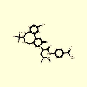 CO[C@@H](C)CC(C(=O)Nc1ccc(C(N)=O)cc1)n1cc2c(cc1=O)-c1cc(Cl)ccc1CC(C(F)(F)F)OC2